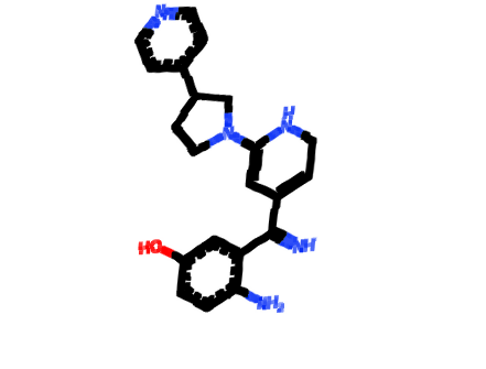 N=C(C1=CCNC(N2CCC(c3ccncc3)C2)=C1)c1cc(O)ccc1N